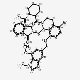 COc1cc(COc2ccc(Br)c3c2[C@@H](CN2Cc4ccccc4C2=O)N(C(=O)C2CCCC[C@H]2C(=O)O)CC3)cc2nnn(C)c12